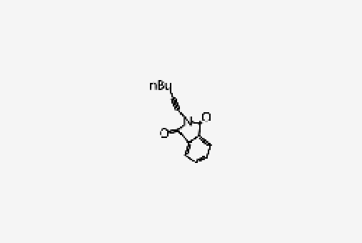 CCCCC#CN1C(=O)c2ccccc2C1=O